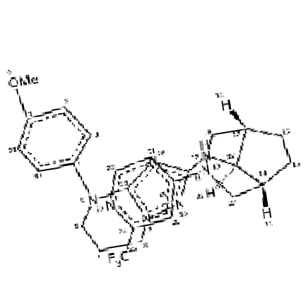 COc1ccc(N2CCCn3nc(N[C@@H]4[C@@H]5CC[C@H]4CN(c4ccnc(C(F)(F)F)c4)C5)nc32)cc1